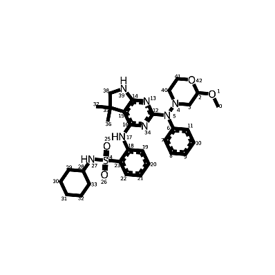 COC1CN(N(c2ccccc2)c2nc3c(c(Nc4ccccc4S(=O)(=O)NC4CCCCC4)n2)C(C)(C)CN3)CCO1